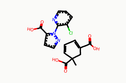 CC1(C(=O)O)C=CC=C(C(=O)O)C1.O=C(O)c1ccnn1-c1ncccc1Cl